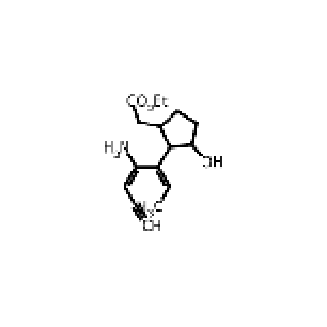 C#C/C=C(N)\C(=C/C)C1C(O)CCC1CC(=O)OCC